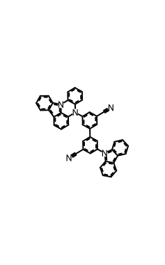 N#Cc1cc(-c2cc(C#N)cc(-n3c4ccccc4c4ccccc43)c2)cc(N2c3ccccc3-n3c4ccccc4c4cccc2c43)c1